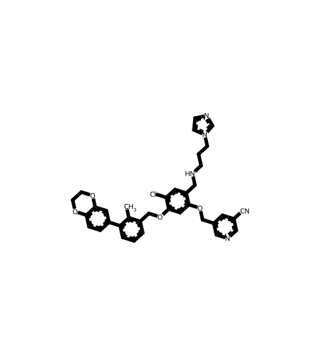 Cc1c(COc2cc(OCc3cncc(C#N)c3)c(CNCCCn3ccnc3)cc2Cl)cccc1-c1ccc2c(c1)OCCO2